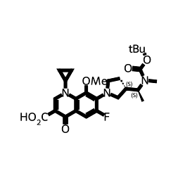 COc1c(N2CC[C@H]([C@H](C)N(C)C(=O)OC(C)(C)C)C2)c(F)cc2c(=O)c(C(=O)O)cn(C3CC3)c12